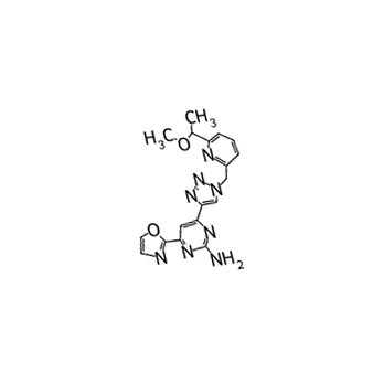 COC(C)c1cccc(Cn2cc(-c3cc(-c4ncco4)nc(N)n3)nn2)n1